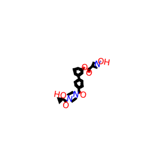 O=C(Oc1cccc(-c2ccc(C(=O)N3CCN(C(=O)C4(O)CC4)CC3)cc2)c1)C1CN(O)C1